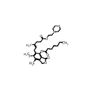 CCCCCCC(=O)Oc1c(C/C=C(\C)CCC(=O)OCCN2CCOCC2)c(OC)c(C)c2c1C(=O)OC2